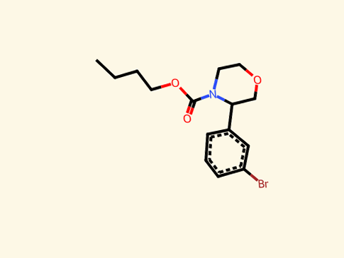 CCCCOC(=O)N1CCOCC1c1cccc(Br)c1